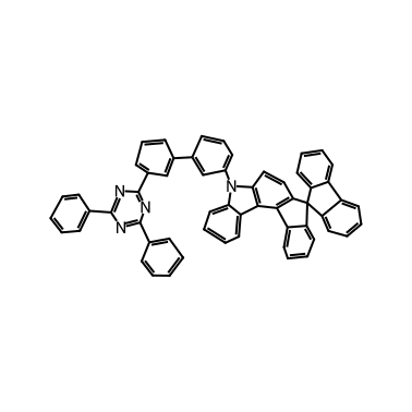 c1ccc(-c2nc(-c3ccccc3)nc(-c3cccc(-c4cccc(-n5c6ccccc6c6c7c(ccc65)C5(c6ccccc6-c6ccccc65)c5ccccc5-7)c4)c3)n2)cc1